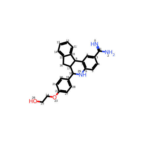 N=C(N)c1ccc2c(c1)C1c3ccccc3CC1C(c1ccc(OCCO)cc1)N2